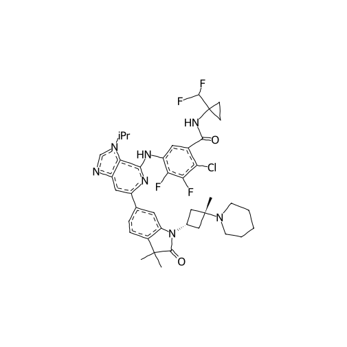 CC(C)n1cnc2cc(-c3ccc4c(c3)N([C@H]3C[C@@](C)(N5CCCCC5)C3)C(=O)C4(C)C)nc(Nc3cc(C(=O)NC4(C(F)F)CC4)c(Cl)c(F)c3F)c21